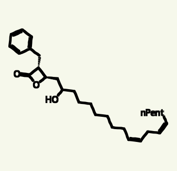 CCCCC/C=C\C/C=C\CCCCCCCC(O)C[C@H]1OC(=O)[C@@H]1Cc1ccccc1